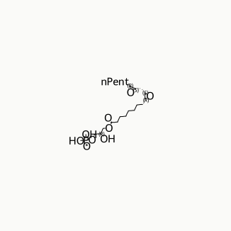 CCCCC[C@H]1O[C@H]1C[C@@H]1O[C@@H]1CCCCCCCC(=O)OC[C@@H](O)COP(=O)(O)O